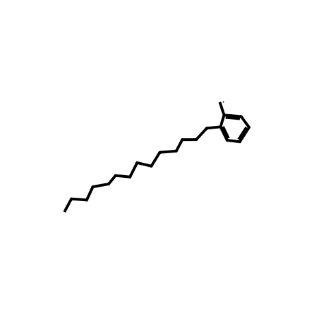 [CH2]c1ccccc1CCCCCCCCCCCCCC